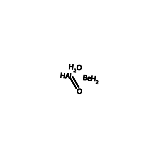 O.[BeH2].[O]=[AlH]